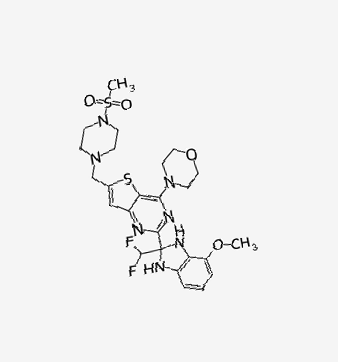 COc1cccc2c1NC(c1nc(N3CCOCC3)c3sc(CN4CCN(S(C)(=O)=O)CC4)cc3n1)(C(F)F)N2